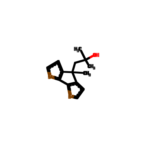 CC(C)(O)CC1(C)c2ccsc2-c2sccc21